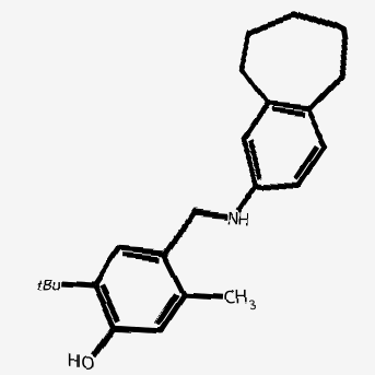 Cc1cc(O)c(C(C)(C)C)cc1CNc1ccc2c(c1)CCCCC2